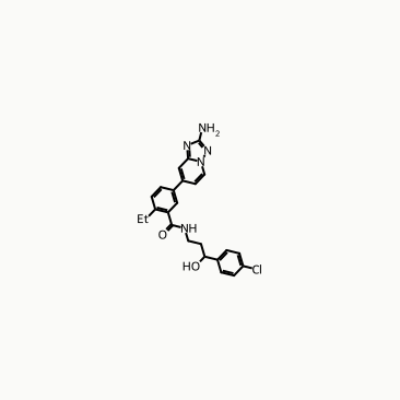 CCc1ccc(-c2ccn3nc(N)nc3c2)cc1C(=O)NCCC(O)c1ccc(Cl)cc1